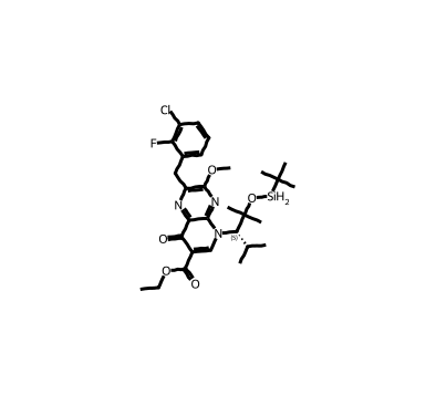 CCOC(=O)c1cn([C@@H](C(C)C)C(C)(C)O[SiH2]C(C)(C)C)c2nc(OC)c(Cc3cccc(Cl)c3F)nc2c1=O